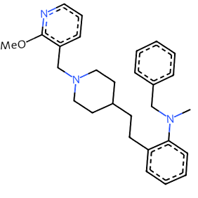 COc1ncccc1CN1CCC(CCc2ccccc2N(C)Cc2ccccc2)CC1